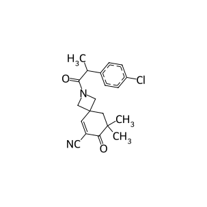 CC(C(=O)N1CC2(C=C(C#N)C(=O)C(C)(C)C2)C1)c1ccc(Cl)cc1